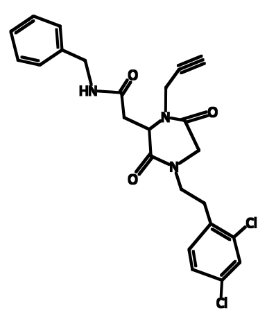 C#CCN1C(=O)CN(CCc2ccc(Cl)cc2Cl)C(=O)C1CC(=O)NCc1ccccc1